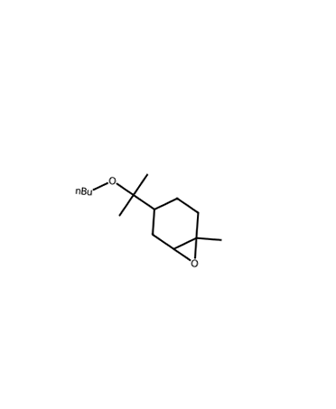 CCCCOC(C)(C)C1CCC2(C)OC2C1